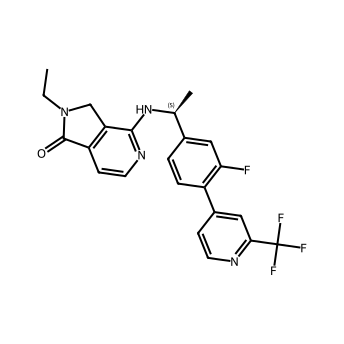 CCN1Cc2c(ccnc2N[C@@H](C)c2ccc(-c3ccnc(C(F)(F)F)c3)c(F)c2)C1=O